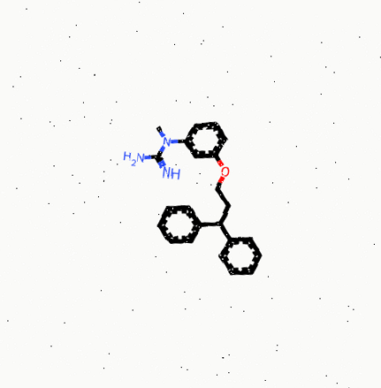 CN(C(=N)N)c1cccc(OCCC(c2ccccc2)c2ccccc2)c1